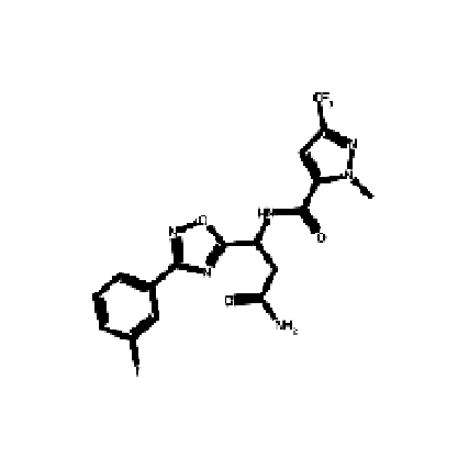 Cn1nc(C(F)(F)F)cc1C(=O)NC(CC(N)=O)c1nc(-c2cccc(F)c2)no1